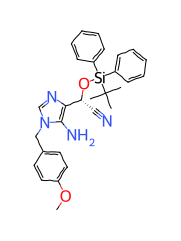 COc1ccc(Cn2cnc([C@@H](C#N)O[Si](c3ccccc3)(c3ccccc3)C(C)(C)C)c2N)cc1